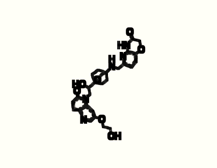 O=C1COc2ccc(CNC34CCC(C(O)Cn5c(=O)ccc6ncc(OCCO)cc65)(CC3)OC4)nc2N1